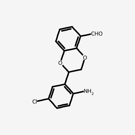 Nc1ccc(Cl)cc1C1COc2c(C=O)cccc2O1